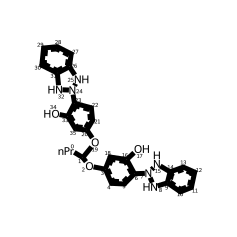 CCCC(Oc1ccc(N2Nc3ccccc3N2)c(O)c1)Oc1ccc(N2Nc3ccccc3N2)c(O)c1